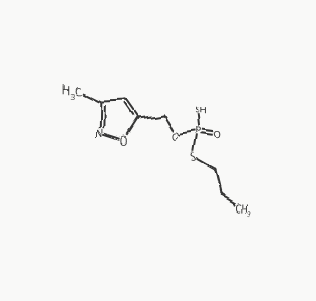 CCCSP(=O)(S)OCc1cc(C)no1